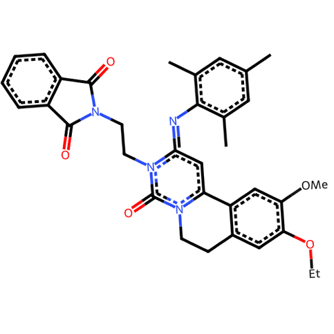 CCOc1cc2c(cc1OC)-c1c/c(=N\c3c(C)cc(C)cc3C)n(CCN3C(=O)c4ccccc4C3=O)c(=O)n1CC2